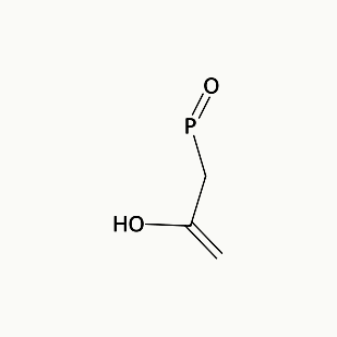 C=C(O)CP=O